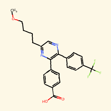 COCCCCc1cnc(-c2ccc(C(F)(F)F)cc2)c(-c2ccc(C(=O)O)cc2)n1